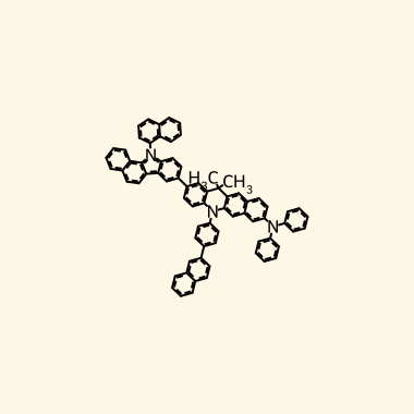 CC1(C)c2cc(-c3ccc4c(c3)c3ccc5ccccc5c3n4-c3cccc4ccccc34)ccc2N(c2ccc(-c3ccc4ccccc4c3)cc2)c2cc3cc(N(c4ccccc4)c4ccccc4)ccc3cc21